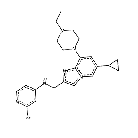 CCN1CCN(c2cc(C3CC3)cn3cc(CNc4ccnc(Br)c4)nc23)CC1